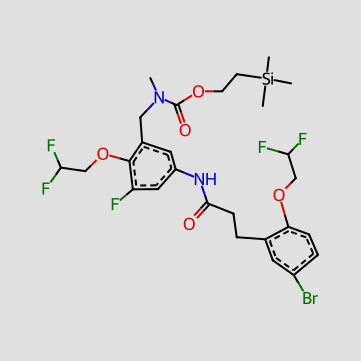 CN(Cc1cc(NC(=O)CCc2cc(Br)ccc2OCC(F)F)cc(F)c1OCC(F)F)C(=O)OCC[Si](C)(C)C